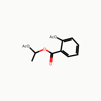 CC(=O)Oc1ccccc1C(=O)OC(C)OC(C)=O